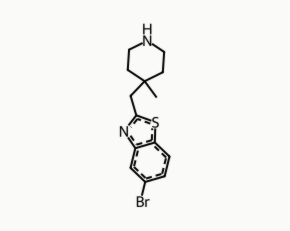 CC1(Cc2nc3cc(Br)ccc3s2)CCNCC1